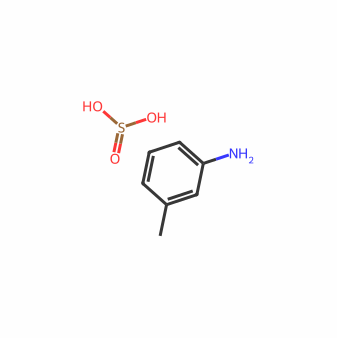 Cc1cccc(N)c1.O=S(O)O